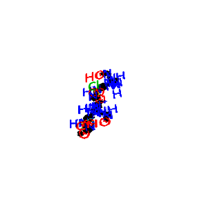 Cc1n[nH]c2nc(-c3ccc(NS(=O)(=O)c4cc(OC(C)C[n+]5[nH]c6nc(-c7ccc(NS(=O)(=O)c8cc(OC(C)C)ccn8)c(F)c7)nc(NCCN(C)CCO)c6c5C)ccn4)c(Cl)c3)nc(NCCN(C)CCO)c12